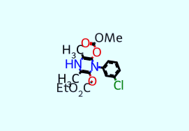 CCOC(=O)OC1=C(C)NC(C)=C(OC(=O)OC)N1c1cccc(Cl)c1